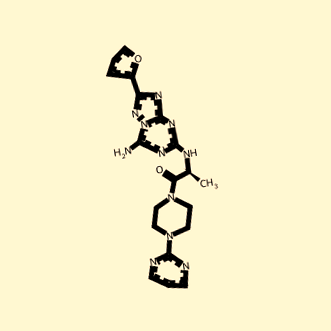 C[C@H](Nc1nc(N)n2nc(-c3ccco3)nc2n1)C(=O)N1CCN(c2ncccn2)CC1